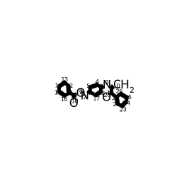 C=C(N=C1C=CC(=NOC(=O)c2ccccc2)C=C1)C(=O)c1ccccc1